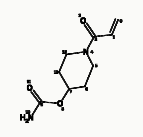 C=CC(=O)N1CCC(OC(N)=O)CC1